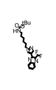 CC(C)(C)OC(=O)NCCCCCCn1cc(-c2nc3ccccc3nc2C(F)F)cn1